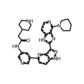 O=C(CC1CCNCC1)Nc1cncc(-c2ccc3[nH]nc(-c4nc5c(N6CCCCC6)nccc5[nH]4)c3n2)c1